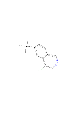 CC(C)(C)c1ccc2cncc(Cl)c2c1